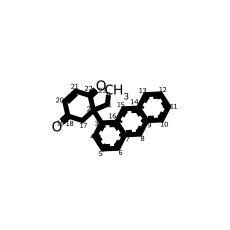 CCC1(c2cccc3cc4ccccc4cc23)CC(=O)C=CC1=O